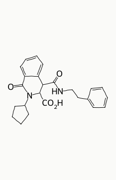 O=C(NCCc1ccccc1)C1c2ccccc2C(=O)N(C2CCCC2)C1C(=O)O